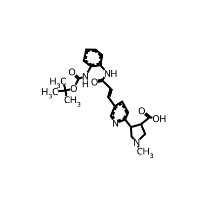 CN1CC(C(=O)O)C(c2ccc(/C=C/C(=O)Nc3ccccc3NC(=O)OC(C)(C)C)cn2)C1